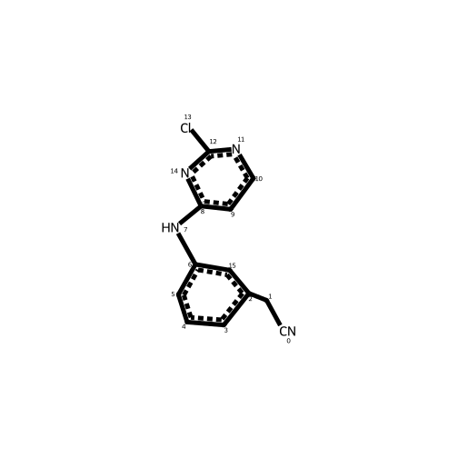 N#CCc1cccc(Nc2ccnc(Cl)n2)c1